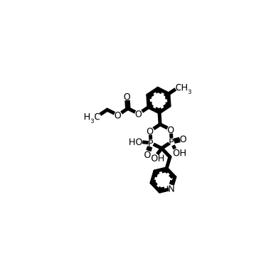 CCOC(=O)Oc1ccc(C)cc1C1OP(=O)(O)C(O)(Cc2cccnc2)P(=O)(O)O1